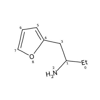 CCC(N)Cc1ccco1